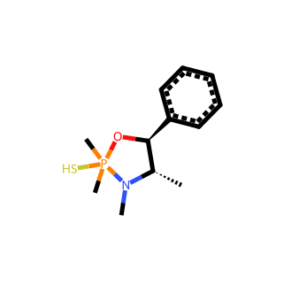 C[C@H]1[C@H](c2ccccc2)OP(C)(C)(S)N1C